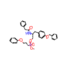 COP(=O)(CCCOc1ccccc1)OCC(Cc1ccc(OCc2ccccc2)cc1)NC(=O)Cc1ccccc1